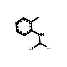 CCC(CC)Nc1ccccc1C